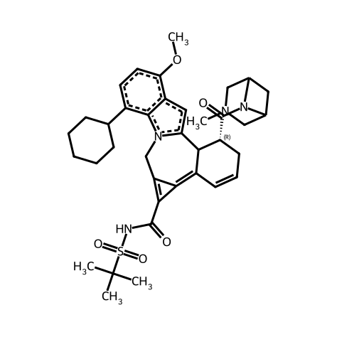 COc1ccc(C2CCCCC2)c2c1cc1n2CC2=C(C(=O)NS(=O)(=O)C(C)(C)C)C2=C2C=CC[C@@H](C(=O)N3C4CC3CN(C)C4)C21